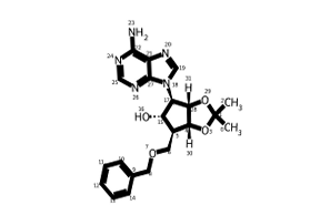 CC1(C)O[C@@H]2[C@@H](COCc3ccccc3)[C@H](O)[C@@H](n3cnc4c(N)ncnc43)[C@@H]2O1